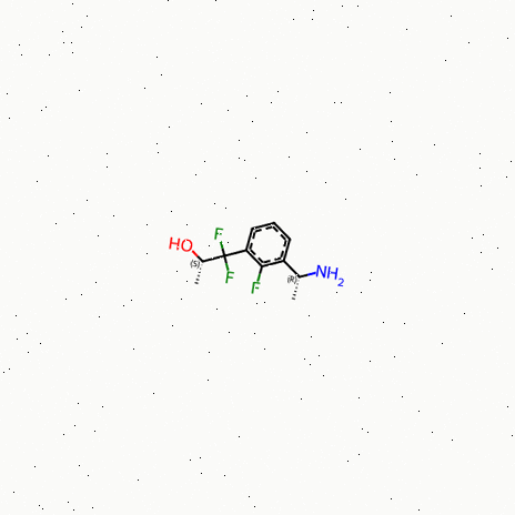 C[C@H](O)C(F)(F)c1cccc([C@@H](C)N)c1F